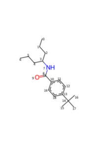 CCCC(CCC)NC(=O)c1ccc(C(C)(C)C)cc1